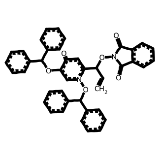 C=CC(ON1C(=O)c2ccccc2C1=O)c1cc(=O)c(OC(c2ccccc2)c2ccccc2)cn1OC(c1ccccc1)c1ccccc1